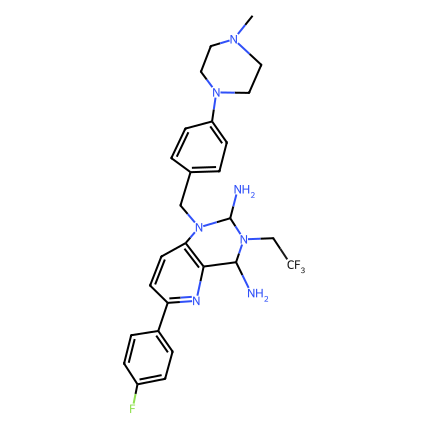 CN1CCN(c2ccc(CN3c4ccc(-c5ccc(F)cc5)nc4C(N)N(CC(F)(F)F)C3N)cc2)CC1